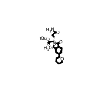 C[C@@H]1c2cc(C3=CCCCO3)ccc2C(=O)N1[C@@H](CCC(N)=O)C(=O)OC(C)(C)C